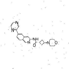 O=C(Nc1cc2cc(-c3cnccn3)ccc2cn1)[C@H]1C[C@H](N2CCOCC2)C1